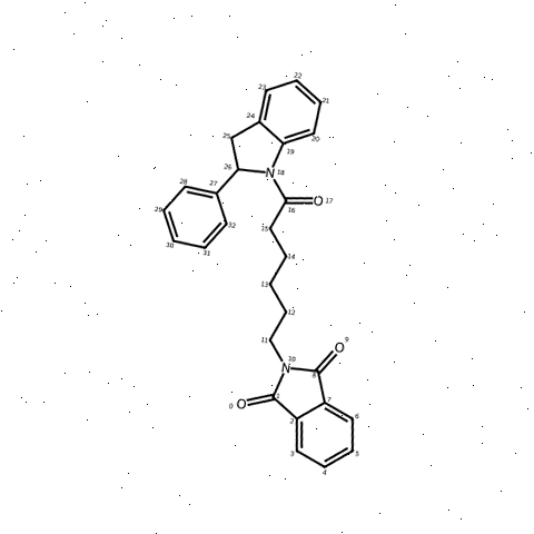 O=C1c2ccccc2C(=O)N1CCCCCC(=O)N1c2ccccc2CC1c1ccccc1